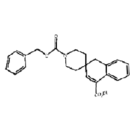 CCOC(=O)C1=CC2(CCN(C(=O)OCc3ccccc3)CC2)Cc2ccccc21